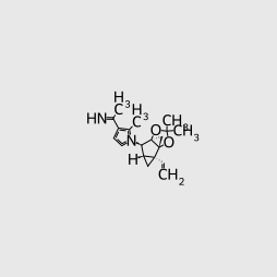 C=C[C@]12C[C@@H]1[C@@H](n1ccc(C(C)=N)c1C)[C@]13C[C@@]21OC(C)(C)O3